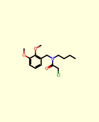 CCCCN(Cc1cccc(OC)c1OC)C(=O)CCl